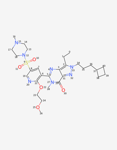 CCc1c2nc(-c3cc(S(=O)(=O)N4CCN(C)CC4)cnc3OCCOC)n(C)c(=O)c2nn1CCCC1CCC1